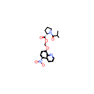 CC(C)C(=O)N1CCC[C@H]1C(=O)OCOc1ccc([N+](=O)[O-])c2cccnc12